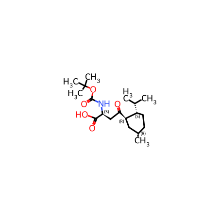 CC(C)[C@@H]1CC[C@@H](C)C[C@H]1C(=O)C[C@H](NC(=O)OC(C)(C)C)C(=O)O